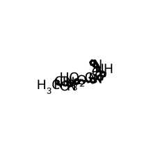 CN(C)CCOc1cnc(-c2ccc(OCCCc3ccc(N4CCc5cccc(C(=O)Nc6nc7ccccc7s6)c5C4)nc3C(=O)O)cc2)nc1